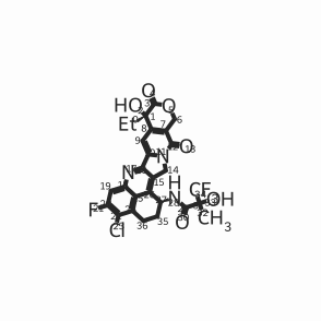 CC[C@@]1(O)C(=O)OCc2c1cc1n(c2=O)Cc2c-1nc1cc(F)c(Cl)c3c1c2[C@@H](NC(=O)C(C)(O)C(F)(F)F)CC3